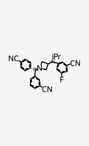 CC(C)[C@H](c1cc(F)cc(C#N)c1)C1CN([C@@H](c2ccc(C#N)cc2)c2cccc(C#N)c2)C1